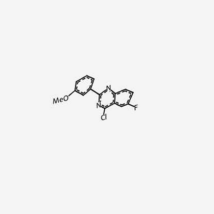 COc1cccc(-c2nc(Cl)c3cc(F)ccc3n2)c1